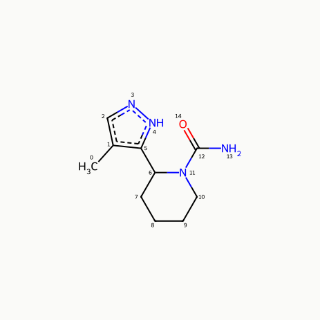 Cc1cn[nH]c1C1CCCCN1C(N)=O